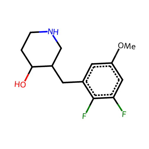 COc1cc(F)c(F)c(CC2CNCCC2O)c1